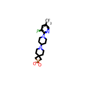 O=S1(=O)CC2(CCN(C3CCN(c4ncc(C(F)(F)F)cc4F)CC3)CC2)C1